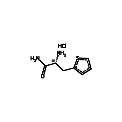 Cl.NC(=O)[C@H](N)Cc1cccs1